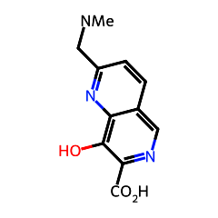 CNCc1ccc2cnc(C(=O)O)c(O)c2n1